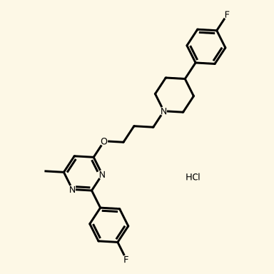 Cc1cc(OCCCN2CCC(c3ccc(F)cc3)CC2)nc(-c2ccc(F)cc2)n1.Cl